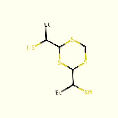 CCC(S)C1SCSC(C(S)CC)S1